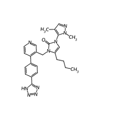 CCCCc1cn(-c2c(C)cnn2C)c(=O)n1Cc1cnccc1-c1ccc(-c2nnn[nH]2)cc1